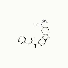 CN(C)C1CCc2oc3ccc(NC(=O)Cc4ccccc4)cc3c2C1